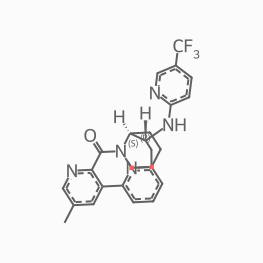 Cc1cnc(C(=O)N2CC3CC[C@H]2[C@H](Nc2ccc(C(F)(F)F)cn2)C3)c(-c2ccccn2)c1